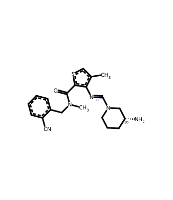 Cc1csc(C(=O)N(C)Cc2ccccc2C#N)c1/N=C/N1CCC[C@@H](N)C1